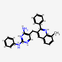 Cc1cccc2cc(Cc3cnc(Nc4ccccc4)nc3N)c(-c3ccccc3)nc12